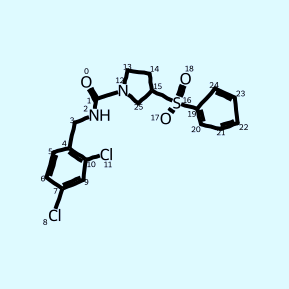 O=C(NCc1ccc(Cl)cc1Cl)N1CCC(S(=O)(=O)c2ccccc2)C1